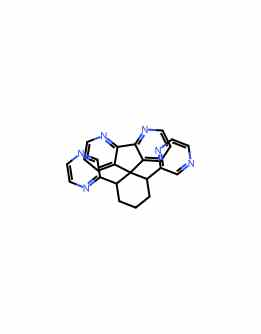 c1cnc2c(c1)C1(c3cccnc3-2)C(c2cnccn2)CCCC1c1cnccn1